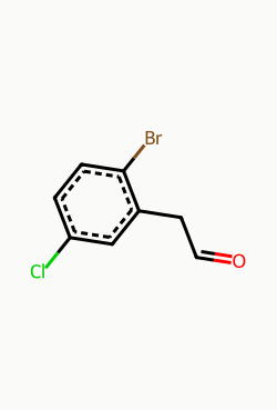 O=CCc1cc(Cl)ccc1Br